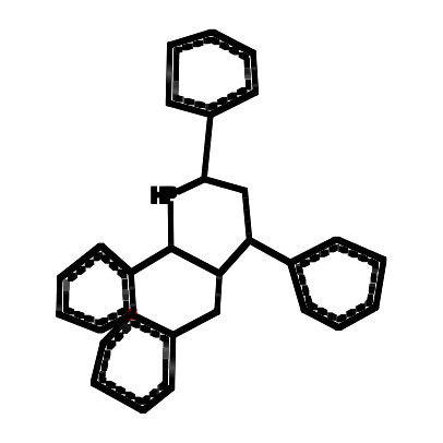 c1ccc(CC2C(c3ccccc3)CC(c3ccccc3)PC2c2ccccc2)cc1